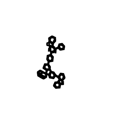 c1ccc(-c2nc(-c3ccc(-c4ccc5c(c4)-c4cc(-c6cccc7sc8ccccc8c67)ccc4C54C5CC6CC(C5)CC4C6)cc3)nc3oc4ccccc4c23)cc1